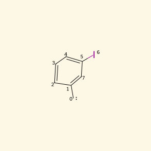 [CH]c1cccc(I)c1